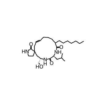 CCCCCCCC1CCC/C=C/CC2(CCNC2=O)C[C@@H](CO)NC(=O)[C@H](CC(C)C)NC1=O